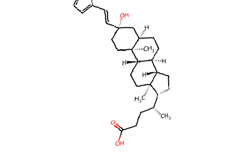 C[C@H](CCC(=O)O)[C@H]1CC[C@H]2[C@@H]3CC[C@@H]4C[C@](O)(/C=C/c5ccco5)CC[C@]4(C)[C@H]3CC[C@]12C